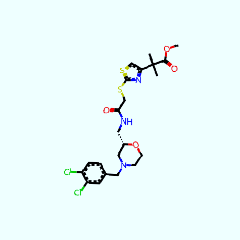 COC(=O)C(C)(C)c1csc(SCC(=O)NC[C@H]2CN(Cc3ccc(Cl)c(Cl)c3)CCO2)n1